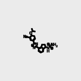 CC(C)OC1CC=C(c2nc(-c3cccc4c3CC[C@@H]4NS(N)(=O)=O)no2)C=C1C#N